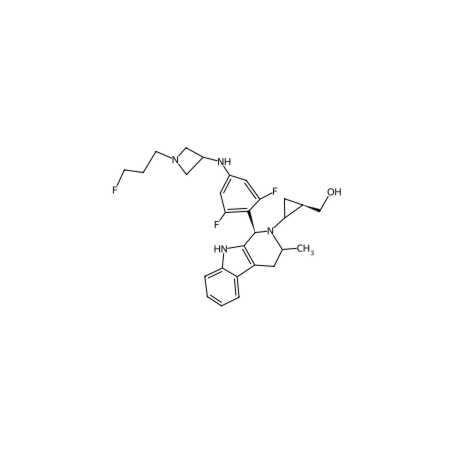 CC1Cc2c([nH]c3ccccc23)[C@@H](c2c(F)cc(NC3CN(CCCF)C3)cc2F)N1C1C[C@H]1CO